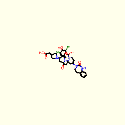 O=CCC1(N2CCC(N3CCC(CC(=O)O)CC3)CC2)CC(N2CCc3ccccc3NC2=O)CC[N@+]1(Cc1cc(Br)c(O)c(Br)c1)C(=O)[O-]